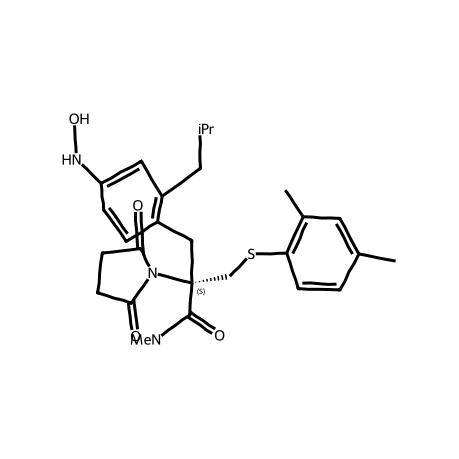 CNC(=O)[C@](CSc1ccc(C)cc1C)(Cc1ccc(NO)cc1CC(C)C)N1C(=O)CCC1=O